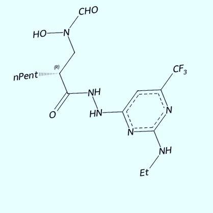 CCCCC[C@H](CN(O)C=O)C(=O)NNc1cc(C(F)(F)F)nc(NCC)n1